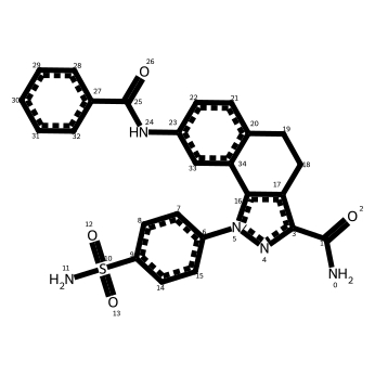 NC(=O)c1nn(-c2ccc(S(N)(=O)=O)cc2)c2c1CCc1ccc(NC(=O)c3ccccc3)cc1-2